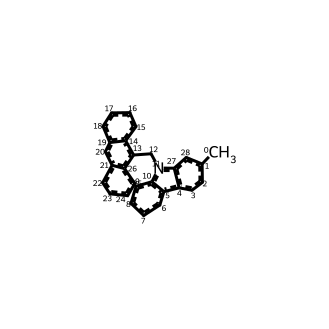 Cc1ccc2c3ccccc3n(Cc3c4ccccc4cc4ccccc34)c2c1